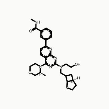 CNC(=O)c1cccc(-c2ccc3c(N4CCOC[C@@H]4C)nc(N(CCO)CC4C[C@H]5CCSC45)nc3n2)c1